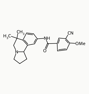 COc1ccc(C(=O)Nc2ccc3c(c2)C2CCCN2CC3(C)C)cc1C#N